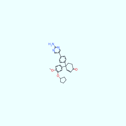 COc1ccc(C2(c3ccc(-c4cnc(N)nc4)cc3)C=CC(=O)CC2)cc1OC1CCCC1